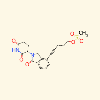 CS(=O)(=O)OCCCC#Cc1cccc2c1CN(C1CCC(=O)NC1=O)C2=O